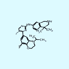 CC(C)N1CCOc2c(F)cc(-c3nc(Nc4ccc5c(c4)CNCC5(C)C)ncc3F)cc21